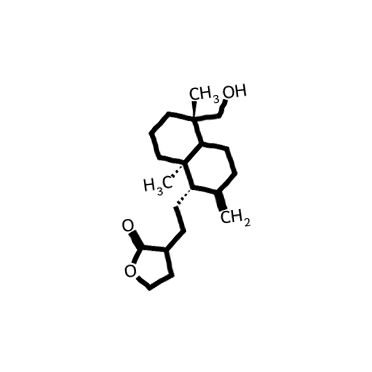 C=C1CCC2[C@@](C)(CO)CCC[C@]2(C)[C@H]1CCC1CCOC1=O